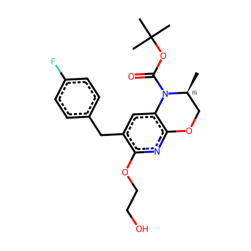 C[C@H]1COc2nc(OCCO)c(Cc3ccc(F)cc3)cc2N1C(=O)OC(C)(C)C